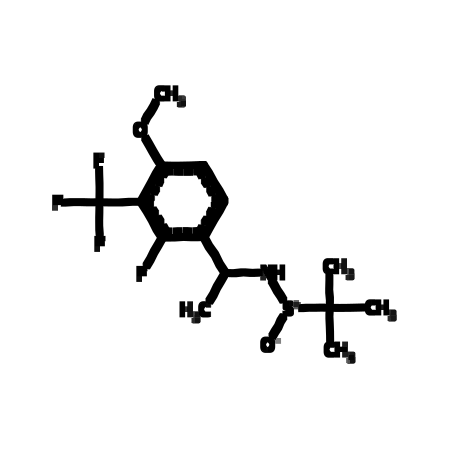 COc1ccc(C(C)N[S+]([O-])C(C)(C)C)c(F)c1C(F)(F)F